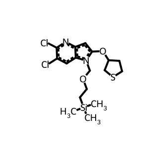 C[Si](C)(C)CCOCn1c(OC2CCSC2)cc2nc(Cl)c(Cl)cc21